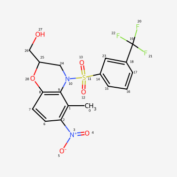 Cc1c([N+](=O)[O-])ccc2c1N(S(=O)(=O)c1cccc(C(F)(F)F)c1)CC(CO)O2